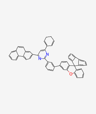 C1=CC(c2cc(-c3ccc4c(ccc5ccccc54)c3)nc(-c3cccc(-c4ccc5c(c4)Oc4ccccc4C54c5ccccc5-c5ccccc54)c3)n2)=CCC1